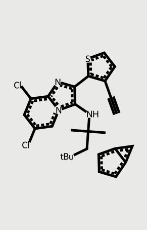 C#Cc1ccsc1-c1nc2c(Cl)cc(Cl)cn2c1NC(C)(C)CC(C)(C)C.c1cc2cc-2c1